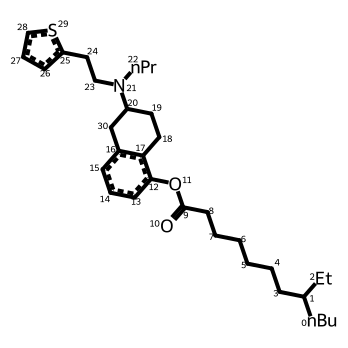 CCCCC(CC)CCCCCCC(=O)Oc1cccc2c1CCC(N(CCC)CCc1cccs1)C2